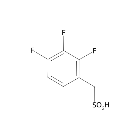 O=S(=O)(O)Cc1ccc(F)c(F)c1F